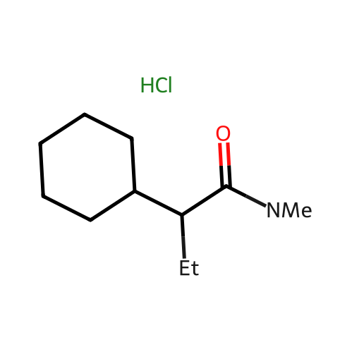 CCC(C(=O)NC)C1CCCCC1.Cl